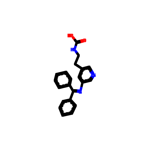 O=C(O)NCCc1cncc(N=C(c2ccccc2)c2ccccc2)c1